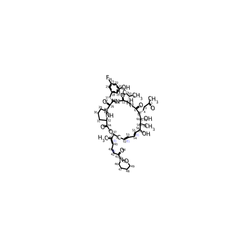 CC(=O)CC[C@H]1C(=O)N[C@@H](C(C)C)C(=O)N[C@@H](Cc2cc(O)cc(F)c2)C(=O)N2CCCC(N2)C(=O)O[C@H](/C(C)=C/C=C\C(=O)N2CCCCO2)C/C=C/C=C/[C@H](O)[C@H](C)[C@H]1O